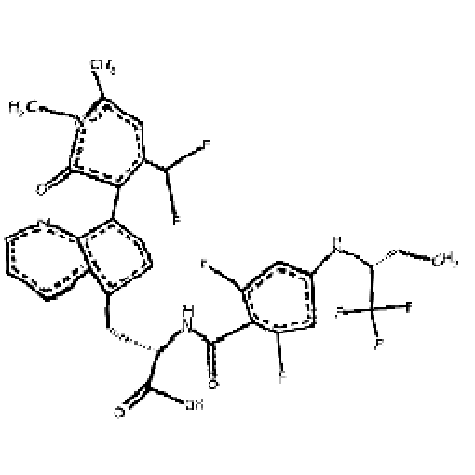 CC[C@@H](Nc1cc(F)c(C(=O)N[C@@H](Cc2ccc(-c3c(C(F)F)cc(C)n(C)c3=O)c3ncccc23)C(=O)O)c(F)c1)C(F)(F)F